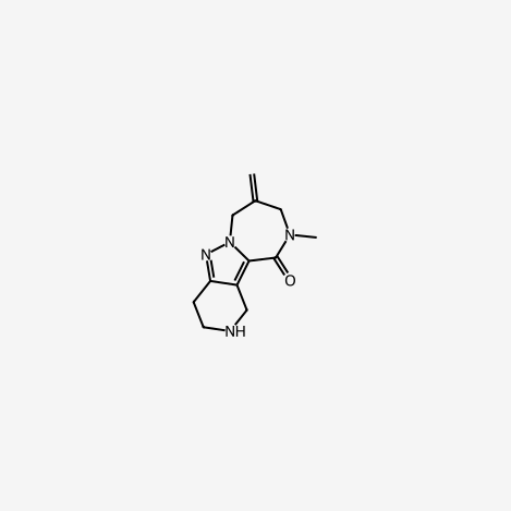 C=C1CN(C)C(=O)c2c3c(nn2C1)CCNC3